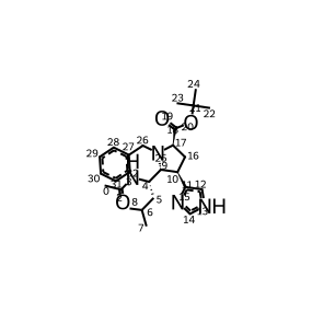 CC(=O)N[C@@H](CC(C)C)[C@H]1[C@H](c2c[nH]cn2)C[C@H](C(=O)OC(C)(C)C)N1Cc1ccccc1